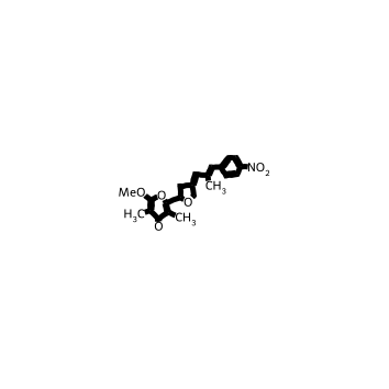 COc1oc(C2C/C(=C/C(C)=C/c3ccc([N+](=O)[O-])cc3)CO2)c(C)c(=O)c1C